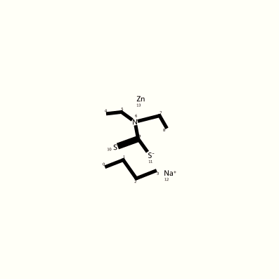 CCCC.CCN(CC)C(=S)[S-].[Na+].[Zn]